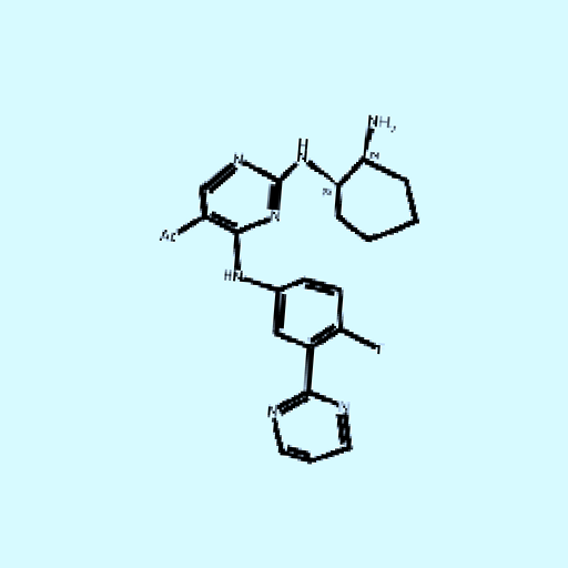 CC(=O)c1cnc(N[C@@H]2CCCC[C@@H]2N)nc1Nc1ccc(F)c(-c2ncccn2)c1